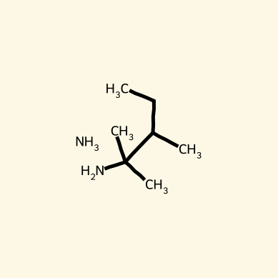 CCC(C)C(C)(C)N.N